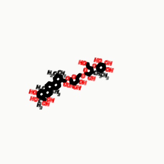 CC1C[C@H](O[C@@H]2C(CO)OC(OCC3OC(OC(=O)C4CC(C)(C)CC5C6=CCC7C(CC(O)C8C(C)(CO)C(O)C(O)CC78C)C6(C)CCC45)[C@@H](O)[C@H](O)[C@@H]3O)[C@@H](O)[C@@H]2C)[C@@H](O)[C@@H](O)C1O